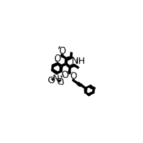 COC(=O)C1=C(C)NC(C)=C(C(=O)OCC#Cc2ccccc2)C1c1cccc([N+](=O)[O-])c1